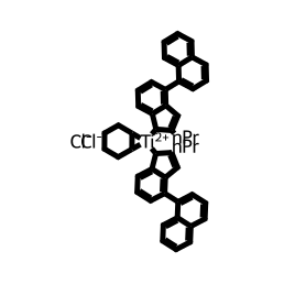 CCCC1=Cc2c(-c3cccc4ccccc34)cccc2[CH]1[Ti+2]1([CH]2C(CCC)=Cc3c(-c4cccc5ccccc45)cccc32)[CH]2CCCC[CH]21.[Cl-].[Cl-]